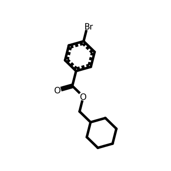 O=C(OCC1CCCCC1)c1ccc(Br)cc1